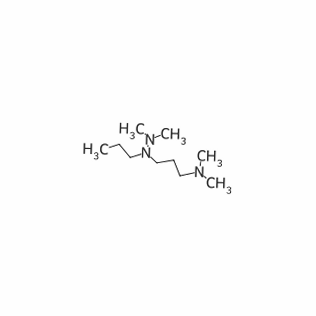 CCCN(CCCN(C)C)N(C)C